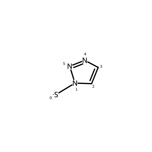 [S]n1ccnn1